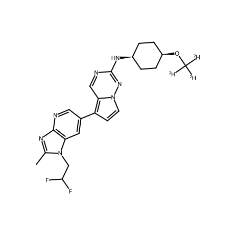 [2H]C([2H])([2H])O[C@H]1CC[C@@H](Nc2ncc3c(-c4cnc5nc(C)n(CC(F)F)c5c4)ccn3n2)CC1